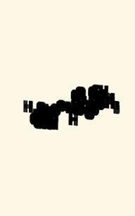 COc1cc([C@@H]2c3cc4c(cc3[C@H](OC(=O)N/N=C/c3cccc(OCCCN(C)CCC(O)(P(=O)(O)O)P(=O)(O)O)c3)C3COC(=O)[C@@H]32)OCO4)cc(OC)c1OC